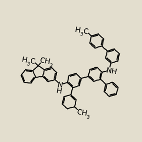 Cc1ccc(-c2cccc(Nc3ccc(-c4ccc(Nc5ccc6c(c5)-c5ccccc5C6(C)C)c(C5=CC(C)CC=C5)c4)cc3-c3ccccc3)c2)cc1